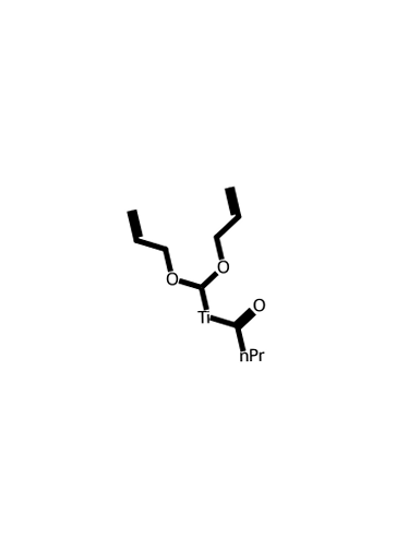 C=CCO[CH](OCC=C)[Ti][C](=O)CCC